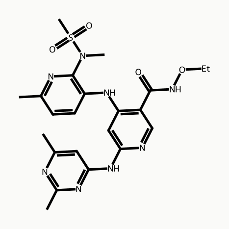 CCONC(=O)c1cnc(Nc2cc(C)nc(C)n2)cc1Nc1ccc(C)nc1N(C)S(C)(=O)=O